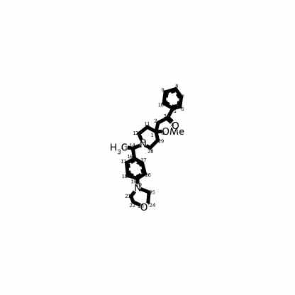 COC1(CC(=O)c2ccccc2)CCN(C(C)c2ccc(N3CCOCC3)cc2)CC1